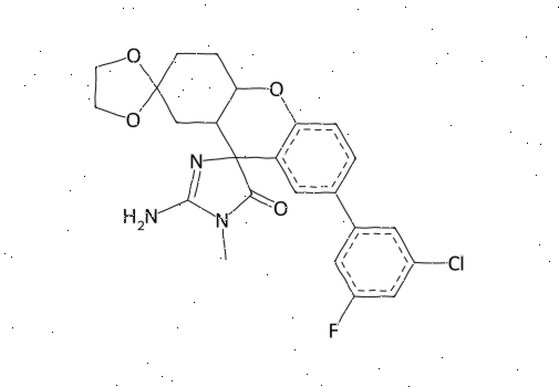 CN1C(=O)C2(N=C1N)c1cc(-c3cc(F)cc(Cl)c3)ccc1OC1CCC3(CC12)OCCO3